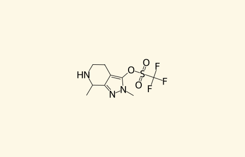 CC1NCCc2c1nn(C)c2OS(=O)(=O)C(F)(F)F